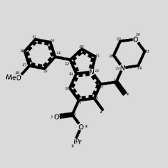 C=C(c1c(C)c(C(=O)OC(C)C)cc2c(-c3cccc(OC)c3)ccn12)N1CCOCC1